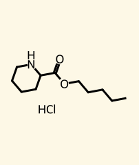 CCCCCOC(=O)C1CCCCN1.Cl